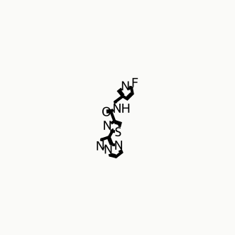 O=C(NCc1ccc(F)nc1)c1csc(-c2cnn3cccnc23)n1